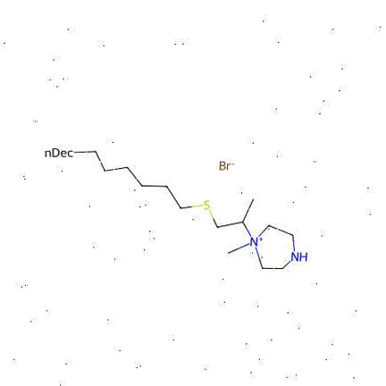 CCCCCCCCCCCCCCCCSCC(C)[N+]1(C)CCNCC1.[Br-]